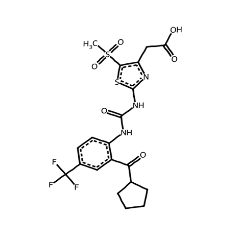 CS(=O)(=O)c1sc(NC(=O)Nc2ccc(C(F)(F)F)cc2C(=O)C2CCCC2)nc1CC(=O)O